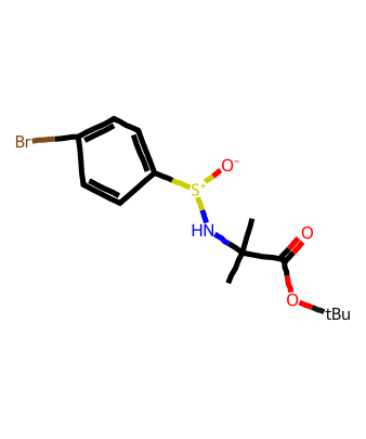 CC(C)(C)OC(=O)C(C)(C)N[S+]([O-])c1ccc(Br)cc1